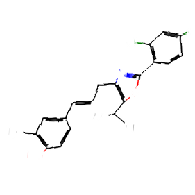 Cc1cc(/C=C/Cc2nc(-c3ccc(Cl)cc3Cl)oc2C(C)C)ccc1O